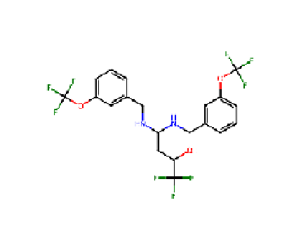 OC(CC(NCc1cccc(OC(F)(F)F)c1)NCc1cccc(OC(F)(F)F)c1)C(F)(F)F